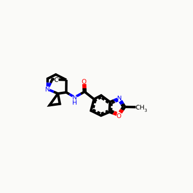 Cc1nc2cc(C(=O)NC3C4CCN(CC4)C34CC4)ccc2o1